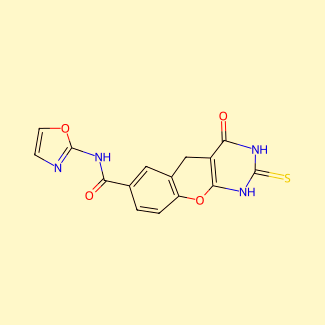 O=C(Nc1ncco1)c1ccc2c(c1)Cc1c([nH]c(=S)[nH]c1=O)O2